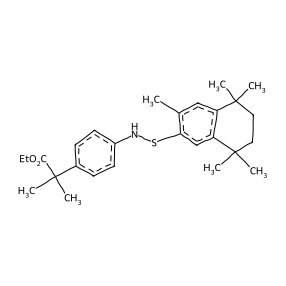 CCOC(=O)C(C)(C)c1ccc(NSc2cc3c(cc2C)C(C)(C)CCC3(C)C)cc1